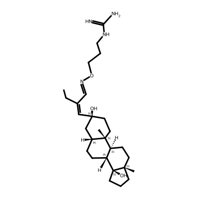 CCC(C=NOCCCNC(=N)N)=C[C@]1(O)CC[C@@]2(C)[C@H](CC[C@@H]3[C@@H]2CC[C@]2(C)CCC[C@]32O)C1